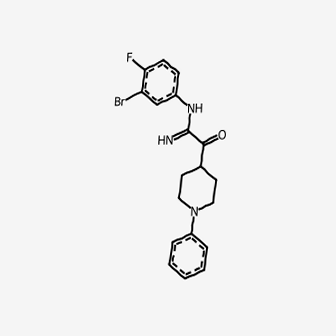 N=C(Nc1ccc(F)c(Br)c1)C(=O)C1CCN(c2ccccc2)CC1